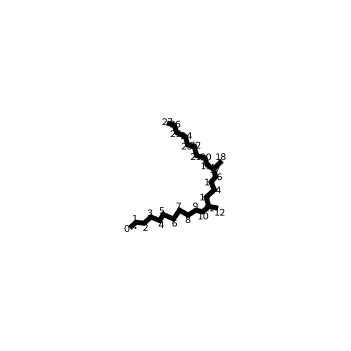 [CH2]CCCCCCCCCCC(C)CCCCC(C)[CH]CCCCCCCC